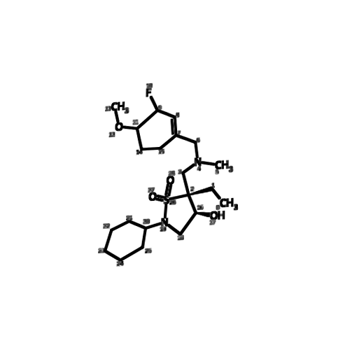 CC[C@@]1(CN(C)CC2=CC(F)C(OC)CC2)[C@@H](O)CN(C2CCCCC2)S1(=O)=O